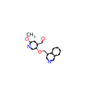 COc1cc(C=O)c(OCc2cncc3ccccc23)cn1